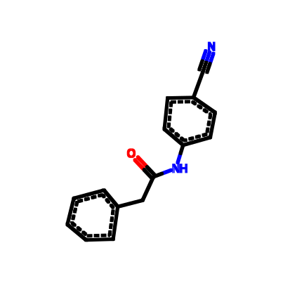 N#Cc1ccc(NC(=O)Cc2ccccc2)cc1